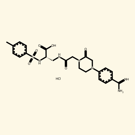 Cc1ccc(S(=O)(=O)N[C@@H](CNC(=O)CN2CCN(c3ccc(C(=N)N)cc3)CC2=O)C(=O)O)cc1.Cl